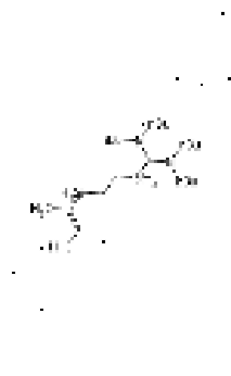 CC=C(C)[SiH2]CC[SiH2]C(N(CCCC)CCCC)N(CCCC)CCCC